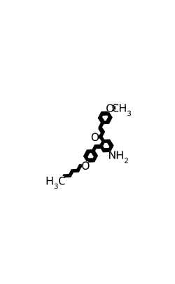 CCCCCCOc1ccc(C=C2C=C(N)C=CC2C(=O)C=Cc2ccc(OC)cc2)cc1